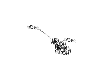 CCCCCCCCCCCCCCCCCCCCCCCC(=O)N[C@@H](COP(=O)(O)OC1C(O)C(O)C(O)[C@@H](O)C1O)[C@H](O)[C@H](O)CCCCCCCCCCCCCC